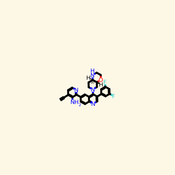 C#Cc1ccnc(-c2ccc3ncc(-c4cc(F)cc(F)c4)c(N4CC[C@H]5NCCO[C@@H]5C4)c3c2)c1N